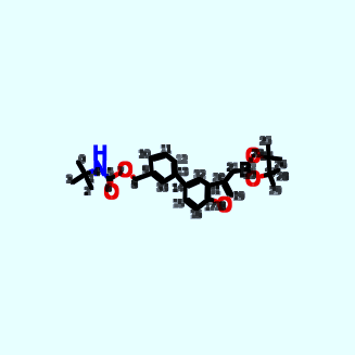 CC(C)(C)NC(=O)OCc1cccc(-c2ccc3occ(CB4OC(C)(C)C(C)(C)O4)c3c2)c1